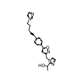 CC(O)c1nccn1Cc1cc(-c2ccc(C#CCCCn3ccnc3)cc2)on1